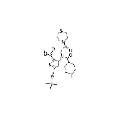 COC(=O)c1sc(C#CC(C)(C)C)cc1N(CC(=O)N1CCSCC1)C(=O)C1CCC(C)CC1